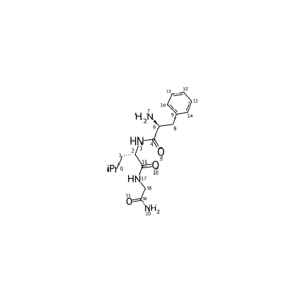 CC(C)C[C@H](NC(=O)[C@@H](N)Cc1ccccc1)C(=O)NCC(N)=O